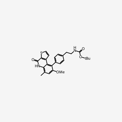 COc1cc(C)c2[nH]c(=O)c3sccc3c2c1-c1ccc(CCNC(=O)OC(C)(C)C)cc1